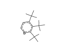 CC(C)(C)c1bccc(C(C)(C)C)c1C(C)(C)C